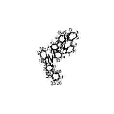 c1ccc(-c2cccc(-c3ccc(-n4c5ccccc5c5cc6sc7ccccc7c6cc54)cc3)c2-n2c3ccccc3c3ccccc32)cc1